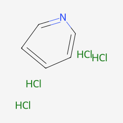 Cl.Cl.Cl.Cl.c1ccncc1